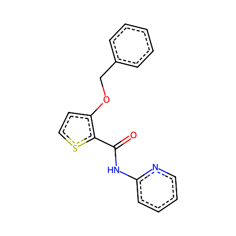 O=C(Nc1ccccn1)c1sccc1OCc1ccccc1